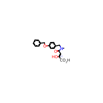 CN(Cc1ccc(OCc2ccccc2)cc1)C(=O)/C=C(\O)C(=O)O